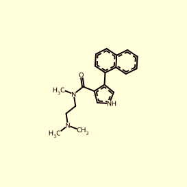 CN(C)CCN(C)C(=O)c1c[nH]cc1-c1cccc2ccccc12